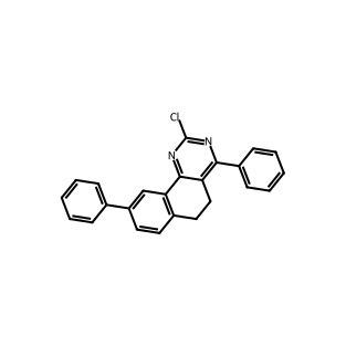 Clc1nc(-c2ccccc2)c2c(n1)-c1cc(-c3ccccc3)ccc1CC2